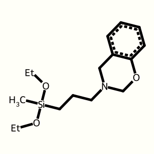 CCO[Si](C)(CCCN1COc2ccccc2C1)OCC